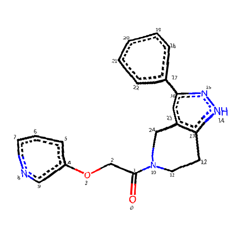 O=C(COc1cccnc1)N1CCc2[nH]nc(-c3ccccc3)c2C1